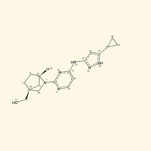 OC[C@@]12CC[C@@H](C1)N(c1nccc(Nc3cc(C4CC4)[nH]n3)n1)C2